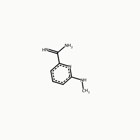 CNc1cccc(C(=N)N)n1